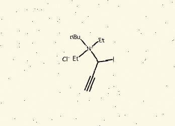 C#CC(I)[N+](CC)(CC)CCCC.[Cl-]